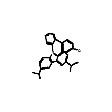 CC(C)c1ccc2c(c1)c1cc(C(C)C)ccc1n2-c1ccccc1-c1ccc(Cl)cc1